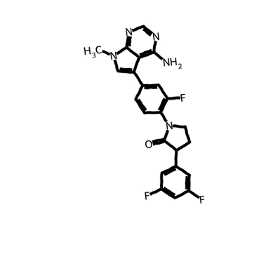 Cn1cc(-c2ccc(N3CCC(c4cc(F)cc(F)c4)C3=O)c(F)c2)c2c(N)ncnc21